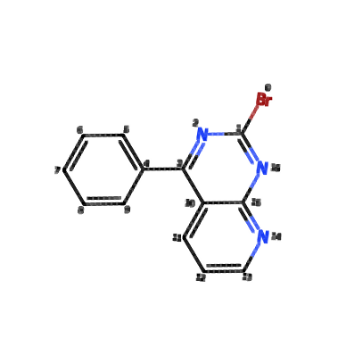 Brc1nc(-c2ccccc2)c2cccnc2n1